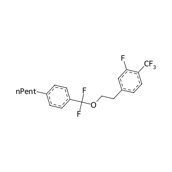 CCCCCc1ccc(C(F)(F)OCCc2ccc(C(F)(F)F)c(F)c2)cc1